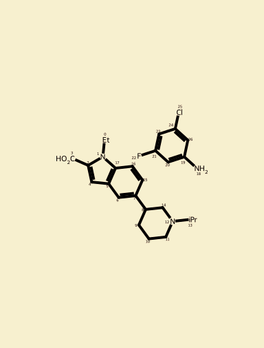 CCn1c(C(=O)O)cc2cc(C3CCCN(C(C)C)C3)ccc21.Nc1cc(F)cc(Cl)c1